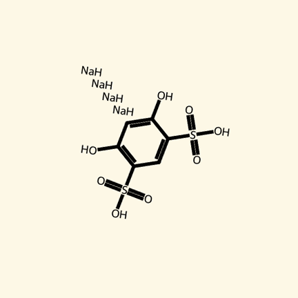 O=S(=O)(O)c1cc(S(=O)(=O)O)c(O)cc1O.[NaH].[NaH].[NaH].[NaH]